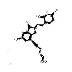 O=CCOCC#Cc1cc(C(F)(F)F)cc2c1CC(CCC1CCC(=O)NC1=O)C2=O